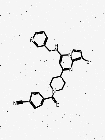 N#Cc1ccc(C(=O)N2CCC(c3cc(NCc4cccnc4)n4ccc(Br)c4n3)CC2)cc1